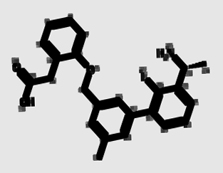 Cc1cc(COc2ccccc2CC(=O)O)cc(-c2cccc([C@@H](C)N)c2F)c1